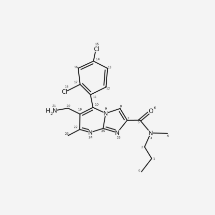 CCCN(C)C(=O)c1cn2c(-c3ccc(Cl)cc3Cl)c(CN)c(C)nc2n1